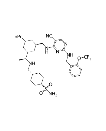 CCCC1C[C@@H](CNc2nc(NCc3ccccc3OC(F)(F)F)ncc2C#N)C[C@H]([C@H](C)NC[C@H]2CC[C@H](S(N)(=O)=O)CC2)C1